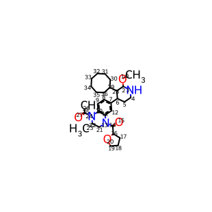 COC1NCCC(c2ccc3c(c2)N(C(=O)C2CCCO2)C[C@H](C)N3C(C)=O)C1C1CCCCCCC1